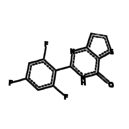 O=c1[nH]c(-c2c(F)cc(F)cc2F)nc2ccsc12